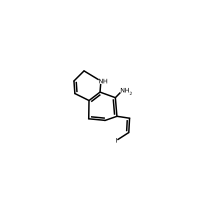 Nc1c(/C=C\I)ccc2c1NCC=C2